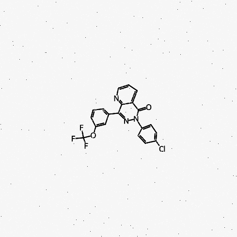 O=c1c2cccnc2c(-c2cccc(OC(F)(F)F)c2)nn1-c1ccc(Cl)cc1